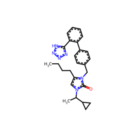 CCCCc1cn(C(C)C2CC2)c(=O)n1Cc1ccc(-c2ccccc2-c2nnn[nH]2)cc1